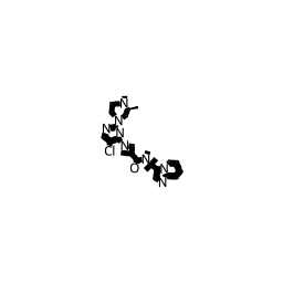 C[C@H]1CN(c2ncc(Cl)c(N3CC(C(=O)N(C)C(C)(C)c4cnc5ccccn45)C3)n2)CCN1C